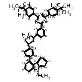 CCC(CC(C)c1cccc(-c2nc(-c3ccc(C(C)(C)C)cc3)nc(-c3ccc(C(C)(C)C)cc3)n2)c1)c1ccc(-c2cccc3c2c2ccccc2n3CC)cc1